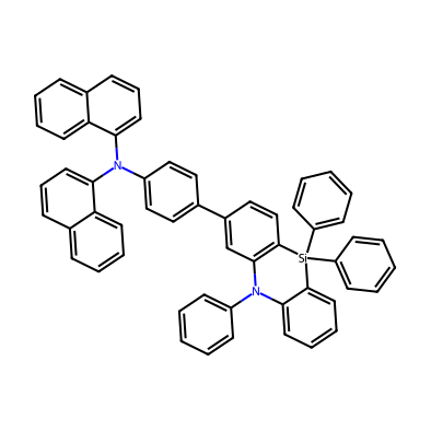 c1ccc(N2c3ccccc3[Si](c3ccccc3)(c3ccccc3)c3ccc(-c4ccc(N(c5cccc6ccccc56)c5cccc6ccccc56)cc4)cc32)cc1